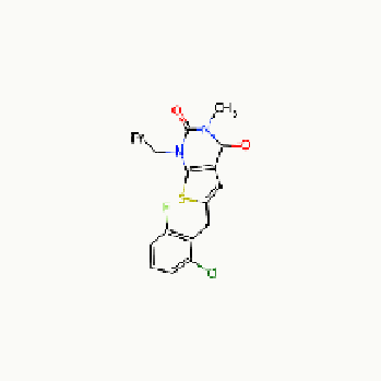 CC(C)Cn1c(=O)n(C)c(=O)c2cc(Cc3c(F)cccc3Cl)sc21